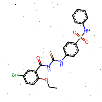 CCOc1ccc(Br)cc1C(=O)NC(=S)Nc1ccc(S(=O)(=O)Nc2ccccc2)cc1